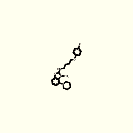 CN1c2c(cccc2N2CCCCC2)SC1NCCCCOc1ccc(F)cc1